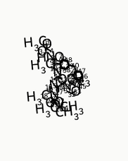 COC(=O)CNC(=O)C1(C)CN(C(=O)CN2CC(C)N(C(=O)OC(C)(C)C)CC2CN2CCOC[C@H]2C)c2cc(Cc3ccc(F)cc3)ccc21